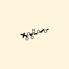 COCCOCNC(=O)OC(=O)C(C)(C)C